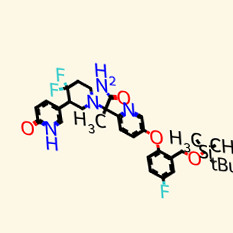 CC(C(N)=O)(c1ccc(Oc2ccc(F)cc2CO[Si](C)(C)C(C)(C)C)cn1)N1CCC(F)(F)C(c2ccc(=O)[nH]c2)C1